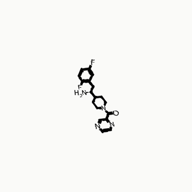 N[C@H](Cc1cc(F)ccc1F)C1CCN(C(=O)c2cnccn2)CC1